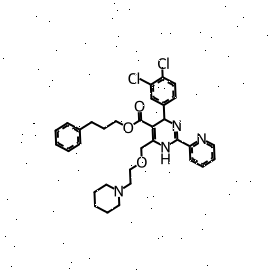 O=C(OCCCc1ccccc1)C1=C(COCCN2CCCCC2)NC(c2ccccn2)=NC1c1ccc(Cl)c(Cl)c1